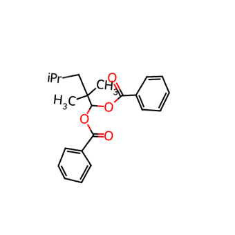 CC(C)CC(C)(C)C(OC(=O)c1ccccc1)OC(=O)c1ccccc1